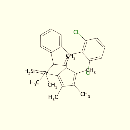 CC1=C(C)C(C)[C]([Zr]([CH3])([CH3])(=[SiH2])[CH]2C=C(c3c(Cl)cccc3Cl)c3ccccc32)=C1C